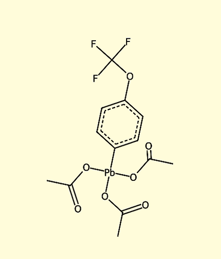 CC(=O)[O][Pb]([O]C(C)=O)([O]C(C)=O)[c]1ccc(OC(F)(F)F)cc1